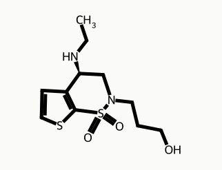 CCN[C@H]1CN(CCCO)S(=O)(=O)c2sccc21